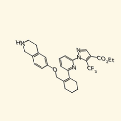 CCOC(=O)c1cnn(-c2cccc(C3=C(COc4ccc5c(c4)CCNC5)CCCC3)n2)c1C(F)(F)F